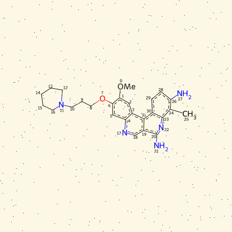 COc1cc2c(cc1OCCCN1CCCCC1)ncc1c(N)nc3c(C)c(N)ccc3c12